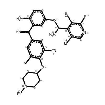 Cc1cc(C(=N)c2cc(O[C@H](N)c3c(Cl)cnc(F)c3Cl)ccc2N)cc(C#N)c1OC1CCN(C(C)C)CC1